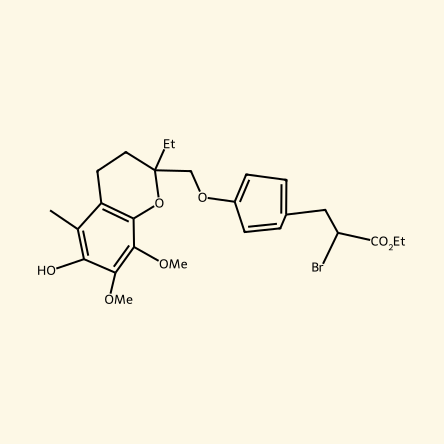 CCOC(=O)C(Br)Cc1ccc(OCC2(CC)CCc3c(C)c(O)c(OC)c(OC)c3O2)cc1